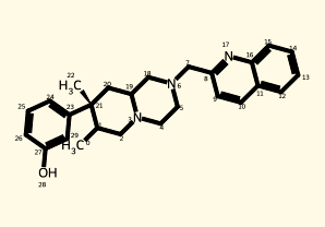 CC1CN2CCN(Cc3ccc4ccccc4n3)CC2C[C@@]1(C)c1cccc(O)c1